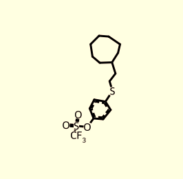 O=S(=O)(Oc1ccc(SCCC2CCCCCCC2)cc1)C(F)(F)F